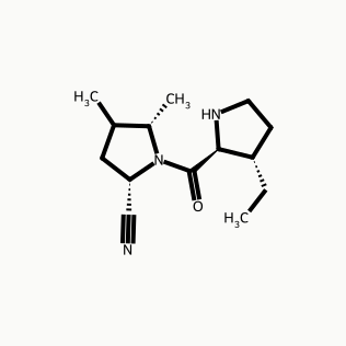 CC[C@H]1CCN[C@@H]1C(=O)N1[C@H](C#N)CC(C)[C@@H]1C